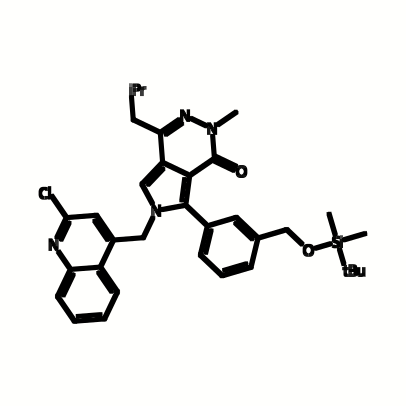 CC(C)Cc1nn(C)c(=O)c2c(-c3cccc(CO[Si](C)(C)C(C)(C)C)c3)n(Cc3cc(Cl)nc4ccccc34)cc12